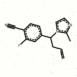 C=CCC(c1ccc(C#N)c(F)c1)n1ccnc1C